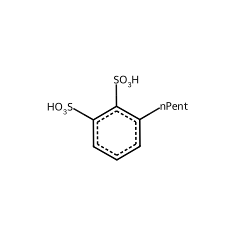 CCCCCc1cccc(S(=O)(=O)O)c1S(=O)(=O)O